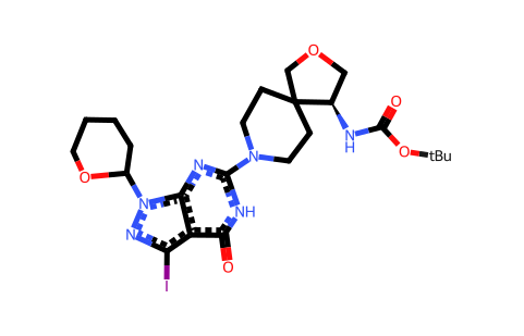 CC(C)(C)OC(=O)N[C@@H]1COCC12CCN(c1nc3c(c(I)nn3C3CCCCO3)c(=O)[nH]1)CC2